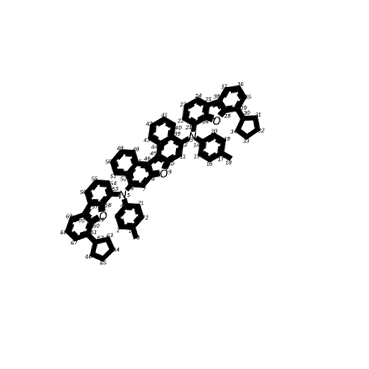 Cc1ccc(N(c2cc3oc4cc(N(c5ccc(C)cc5)c5cccc6c5oc5c(C7CCCC7)cccc56)c5ccccc5c4c3c3ccccc23)c2cccc3c2oc2c(C4CCCC4)cccc23)cc1